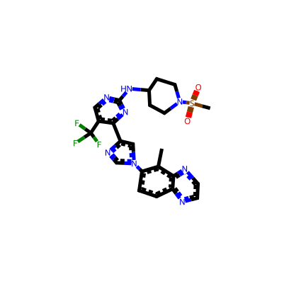 Cc1c(-n2cnc(-c3nc(NC4CCN(S(C)(=O)=O)CC4)ncc3C(F)(F)F)c2)ccc2nccnc12